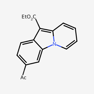 CCOC(=O)c1c2ccc(C(C)=O)cc2n2ccccc12